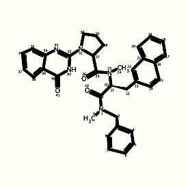 CN(Cc1ccccc1)C(=O)[C@H](Cc1ccc2ccccc2c1)N(C)C(=O)C1CCCN1c1nc2ccccc2c(=O)[nH]1